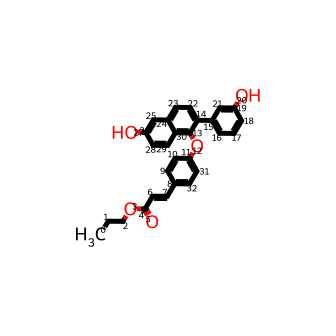 CCCOC(=O)C=Cc1ccc(Oc2c(-c3cccc(O)c3)ccc3cc(O)ccc23)cc1